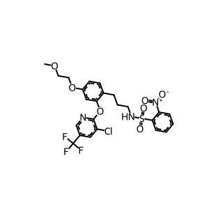 COCCOc1ccc(CCCNS(=O)(=O)c2ccccc2[N+](=O)[O-])c(Oc2ncc(C(F)(F)F)cc2Cl)c1